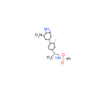 CC(CNS(=O)(=O)C(C)C)c1ccc(-c2ccc(N)c([N+](=O)[O-])c2)c(F)c1